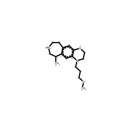 COCCCN1CCOc2cc3c(cc21)C(C)CNCC3